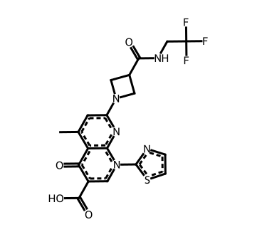 Cc1cc(N2CC(C(=O)NCC(F)(F)F)C2)nc2c1c(=O)c(C(=O)O)cn2-c1nccs1